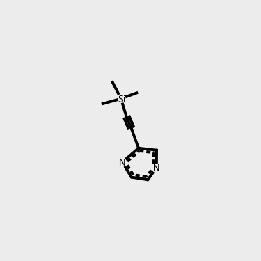 C[Si](C)(C)C#Cc1cnccn1